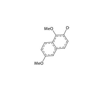 COc1ccc2c(OC)c([O])ccc2c1